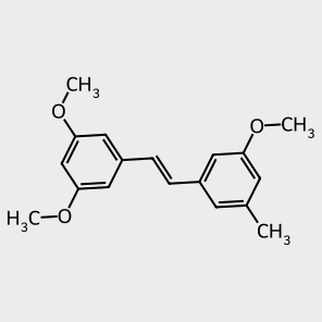 COc1cc(C)cc(/C=C/c2cc(OC)cc(OC)c2)c1